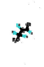 [CH2]CC(F)[C@H](F)C(F)(F)C(F)(F)F